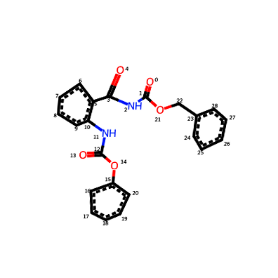 O=C(NC(=O)c1ccccc1NC(=O)Oc1ccccc1)OCc1ccccc1